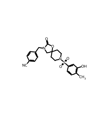 Cc1ccc(S(=O)(=O)N2CCC3(CC2)CN(Cc2ccc(C#N)cc2)C(=O)O3)cc1O